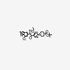 CCOc1nc(N2CCN(C(=O)OC(C)(C)C)CC2)ncc1C(=O)Nc1cc(OC)c2nn(C)cc2c1